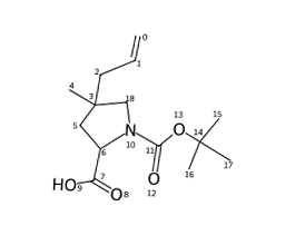 C=CCC1(C)CC(C(=O)O)N(C(=O)OC(C)(C)C)C1